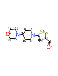 O=Cc1csc(N2CCC(N3CCOCC3)CC2)n1